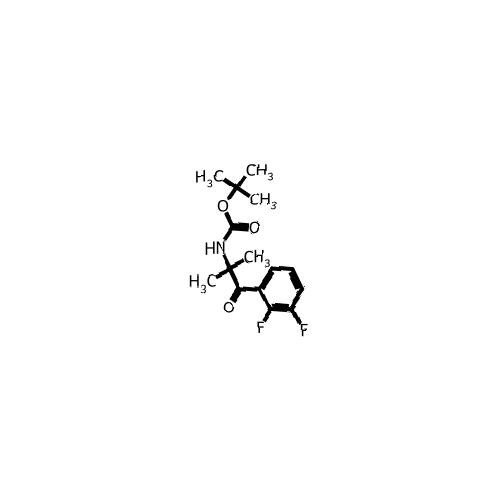 CC(C)(C)OC(=O)NC(C)(C)C(=O)c1cccc(F)c1F